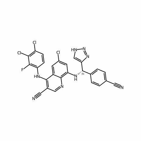 N#Cc1ccc([C@H](Nc2cc(Cl)cc3c(Nc4ccc(Cl)c(Cl)c4F)c(C#N)cnc23)c2c[nH]nn2)cc1